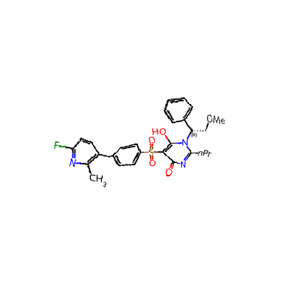 CCCc1nc(=O)c(S(=O)(=O)c2ccc(-c3ccc(F)nc3C)cc2)c(O)n1[C@@H](COC)c1ccccc1